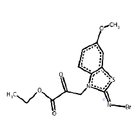 CCOC(=O)C(=O)Cn1/c(=N/Br)sc2cc(OC)ccc21